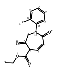 CCOC(=O)C1C=CC(=O)N(c2ccccc2F)CC1=O